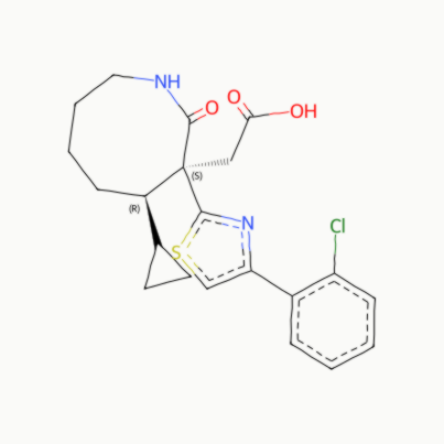 O=C(O)C[C@@]1(c2nc(-c3ccccc3Cl)cs2)C(=O)NCCCC[C@@H]1C1CC1